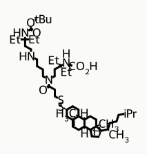 CCC(CC)(CCN(CCCCNCCC(CC)(CC)NC(=O)OC(C)(C)C)C(=O)CCSS[C@H]1CC[C@@]2(C)C(=CC[C@H]3[C@@H]4CC[C@H]([C@H](C)CCCC(C)C)[C@@]4(C)CC[C@@H]32)C1)NC(=O)O